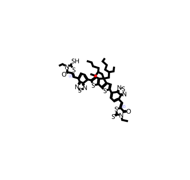 CCCCC(CC)CC1(CC(CC)CCCC)c2cc(-c3ccc(/C=C4\SC(=S)N(CC)C4=O)c4nsnc34)sc2-c2sc(-c3ccc(/C=C4\SC(S)N(CC)C4=O)c4nsnc34)cc21